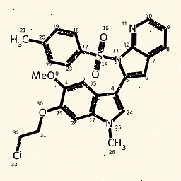 COc1cc2c(-c3cc4cccnc4n3S(=O)(=O)c3ccc(C)cc3)cn(C)c2cc1OCCCl